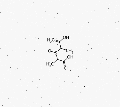 C=C(O)C(C)[S+]([O-])C(C)C(=C)O